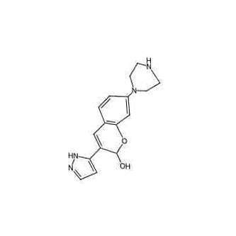 OC1Oc2cc(N3CCNCC3)ccc2C=C1c1ccn[nH]1